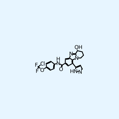 O=C(Nc1ccc(OC(F)(F)Cl)cc1)c1cc(-c2ccn[nH]2)c2c(c1)nc1n2CCC[C@H]1O